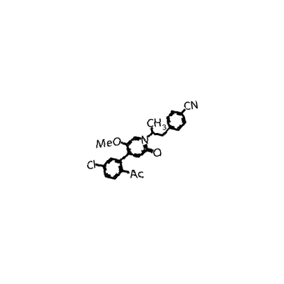 COc1cn(C(C)Cc2ccc(C#N)cc2)c(=O)cc1-c1cc(Cl)ccc1C(C)=O